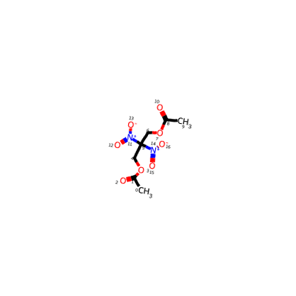 CC(=O)OCC(COC(C)=O)([N+](=O)[O-])[N+](=O)[O-]